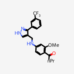 CCCC(=O)c1ccc(NCc2c[nH]nc2-c2cccc(C(F)(F)F)c2)cc1OC